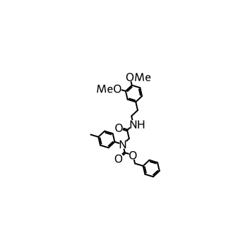 COc1ccc(CCNC(=O)CN(C(=O)OCc2ccccc2)c2ccc(C)cc2)cc1OC